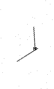 CCCCCCCCCCCCCCCCCCCCCCc1cc(C)cc(CCCCCCCCCCCCCCCCCCCCCC)n1